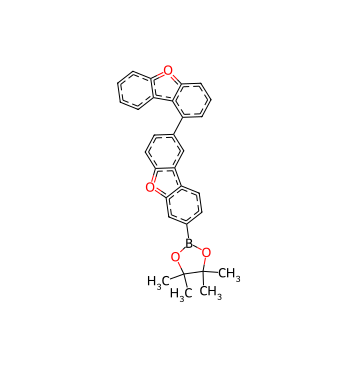 CC1(C)OB(c2ccc3c(c2)oc2ccc(-c4cccc5oc6ccccc6c45)cc23)OC1(C)C